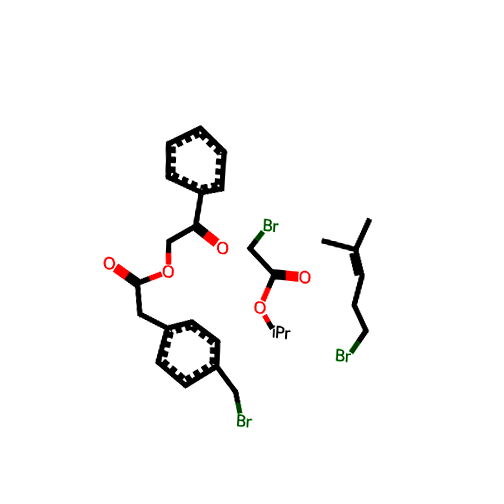 CC(C)=CCCBr.CC(C)OC(=O)CBr.O=C(Cc1ccc(CBr)cc1)OCC(=O)c1ccccc1